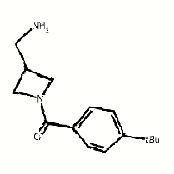 CC(C)(C)c1ccc(C(=O)N2CC(CN)C2)cc1